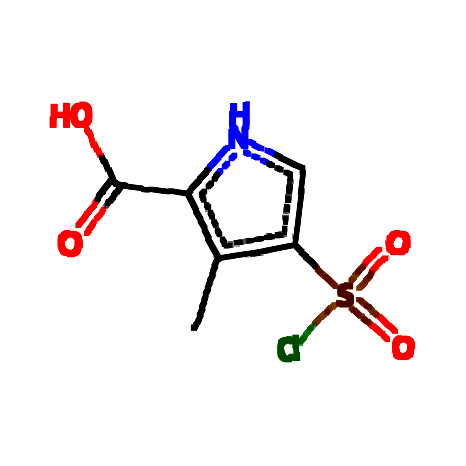 Cc1c(S(=O)(=O)Cl)c[nH]c1C(=O)O